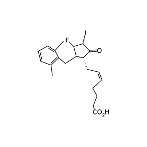 Cc1cccc(C)c1CC1C(F)C(I)C(=O)[C@@H]1C/C=C\CCCC(=O)O